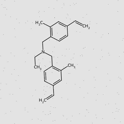 C=Cc1ccc(CN(CC)Cc2ccc(C=C)cc2C)c(C)c1